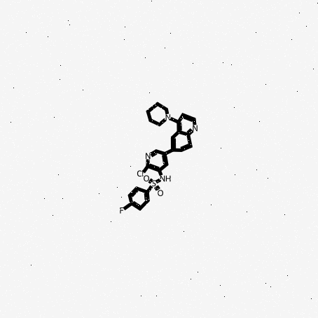 O=S(=O)(Nc1cc(-c2ccc3nccc(N4CCCCC4)c3c2)cnc1Cl)c1ccc(F)cc1